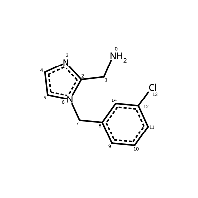 NCc1nccn1Cc1cccc(Cl)c1